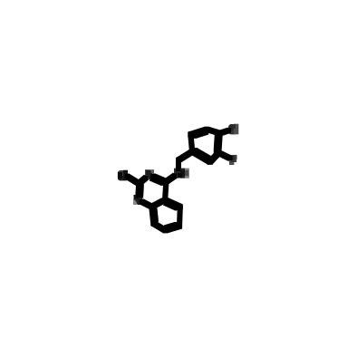 Fc1cc(CNc2nc(Cl)nc3ccccc23)ccc1Cl